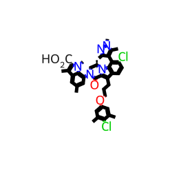 Cc1cc(N2C[C@@H](C)n3c(c(CCCOc4cc(C)c(Cl)c(C)c4)c4ccc(Cl)c(-c5c(C)nn(C)c5C)c43)C2=O)c2c(c1)c(C)c(C(=O)O)n2C